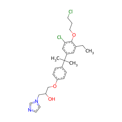 CCc1cc(C(C)(C)c2ccc(OCC(O)Cn3ccnc3)cc2)cc(Cl)c1OCCCCl